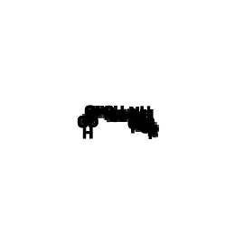 O=C1CCC(N2Cc3cc(CC[C@H](O)CN4CC5(C4)CN(c4ccc(-c6cnc7[nH]cc(C(=O)c8c(F)ccc(NS(=O)(=O)N9CC[C@@H](F)C9)c8F)c7c6)cc4)C5)ccc3C2=O)C(=O)N1